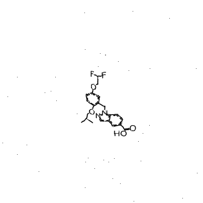 CC(C)COc1ccc(OCC(F)F)cc1Cn1ncc2cc(C(=O)O)ccc21